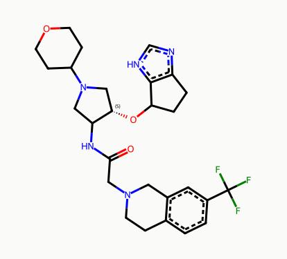 O=C(CN1CCc2ccc(C(F)(F)F)cc2C1)NC1CN(C2CCOCC2)C[C@@H]1OC1CCc2nc[nH]c21